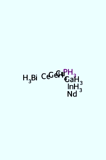 P.[BiH3].[Ce].[Cu].[GaH3].[GeH4].[InH3].[Nd]